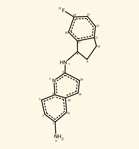 Nc1ccc2nc(NC3CCc4ccc(F)cc43)ccc2c1